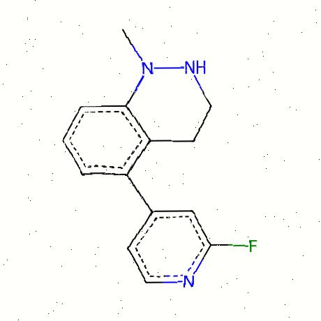 CN1NCCc2c(-c3ccnc(F)c3)cccc21